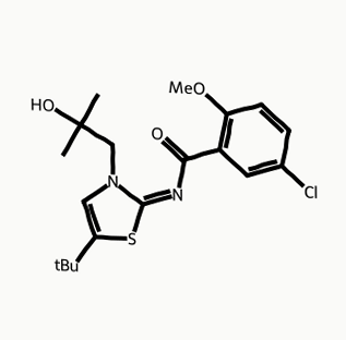 COc1ccc(Cl)cc1C(=O)N=c1sc(C(C)(C)C)cn1CC(C)(C)O